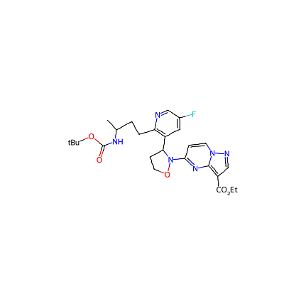 CCOC(=O)c1cnn2ccc(N3OCCC3c3cc(F)cnc3CCC(C)NC(=O)OC(C)(C)C)nc12